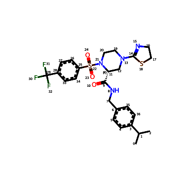 CC(C)c1ccc(CNC(=O)[C@H]2CN(C3=NCCS3)CCN2S(=O)(=O)c2ccc(C(F)(F)F)cc2)cc1